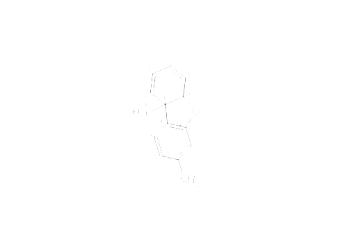 Cc1ccc2c(c1)OC1C=CC=CC21C